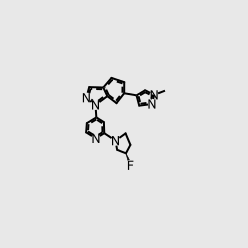 Cn1cc(-c2ccc3cnn(-c4ccnc(N5CC[C@@H](F)C5)c4)c3c2)cn1